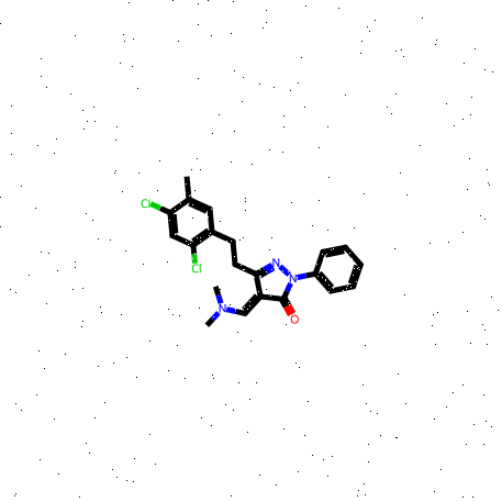 Cc1cc(CCC2=NN(c3ccccc3)C(=O)C2=CN(C)C)c(Cl)cc1Cl